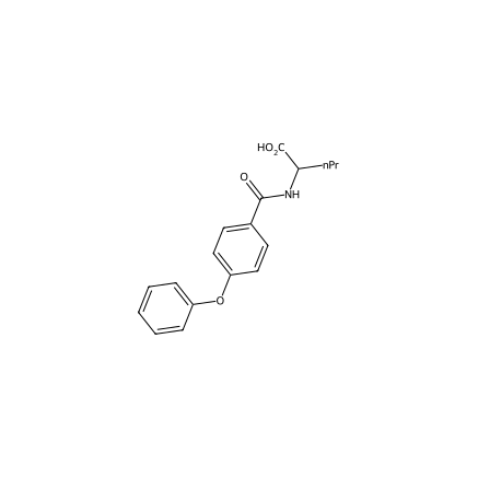 CCCC(NC(=O)c1ccc(Oc2ccccc2)cc1)C(=O)O